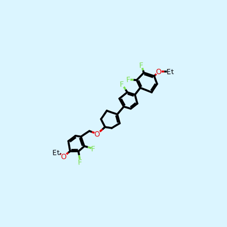 CCOc1ccc(COC2CC=C(c3ccc(-c4ccc(OCC)c(F)c4F)c(F)c3)CC2)c(F)c1F